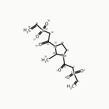 C=CS(=O)(=O)CC(=O)N1CCN(C(=O)CS(=O)(=O)C=C)C1C